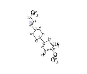 Fc1cc(C2CCC(/C=C/CC(F)(F)F)CC2)cc(F)c1OC(F)(F)F